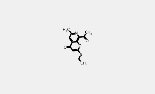 CCSc1cc(=O)c2cc(C)nc(C(C)=O)c2o1